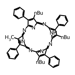 CCCCC1=C(c2ccccc2)c2nc1nc1[nH]c(nc3nc(nc4[nH]c(n2)c(C)c4-c2ccccc2)C(CCCC)=C3c2ccccc2)c(CCCC)c1-c1ccccc1